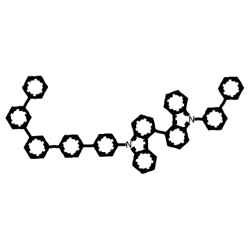 c1ccc(-c2cccc(-c3cccc(-c4ccc(-c5ccc(-n6c7ccccc7c7c(-c8cccc9c8c8ccccc8n9-c8cccc(-c9ccccc9)c8)cccc76)cc5)cc4)c3)c2)cc1